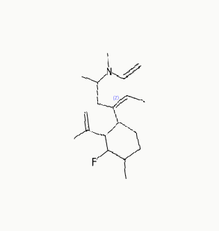 C=CN(C)C(C)C/C(=C/C)C1CCC(C)C(F)C1C(=C)C